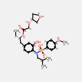 CC[C@@H](Cc1ccc(N(CC(C)C)S(=O)(=O)c2ccc(OC)cc2)c(O)c1)OC(=O)CO[C@@H]1CCOC1